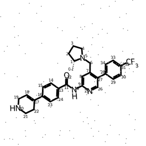 C[C@@H]1CCCN1Cc1cc(NC(=O)c2ccc(C3=CCNCC3)cc2)ncc1-c1ccc(C(F)(F)F)cc1